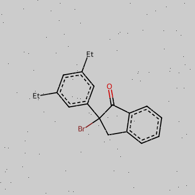 CCc1cc(CC)cc(C2(Br)Cc3ccccc3C2=O)c1